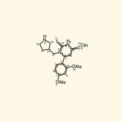 COc1ccc(-c2cc(=O)[nH]c(=S)n2CC2CCNC2)c(OC)c1.Cl